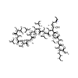 C/C=C\C[C@@H](C)[C@H](O)C(C(=O)N[C@@H](CC)C(=O)N(C)CC(=O)N(C)[C@H](CCCC)C(N)=O)N(C)C(=O)[C@H](C(C)C)N(C)C(=O)[C@@H](CC(C)C)N(C)C(O)[C@@H](CC(C)C)N(C)C(=O)[C@H](C)NC(=O)[C@@H](CC)NC(=O)[C@H](CC(C)C)N(C)C(=O)[C@@H](C)C(C)C